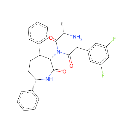 C[C@H](N)C(=O)N(C(=O)Cc1cc(F)cc(F)c1)[C@@H]1C(=O)N[C@H](c2ccccc2)CC[C@@H]1c1ccccc1